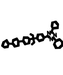 CCC(CC)(c1ccc(-c2ccc(-c3ccccc3)cc2)cc1)c1ccc(-c2nc(C3=CCC=CC=C3)nc(-c3ccccc3)n2)cc1